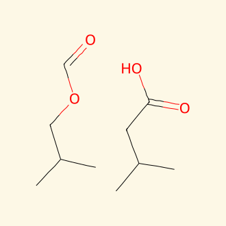 CC(C)CC(=O)O.CC(C)COC=O